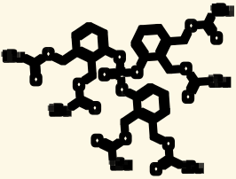 CC(C)(C)C(=O)OCc1cccc(OP(=O)(Oc2cccc(COC(=O)C(C)(C)C)c2COC(=O)C(C)(C)C)Oc2cccc(COC(=O)C(C)(C)C)c2COC(=O)C(C)(C)C)c1COC(=O)C(C)(C)C